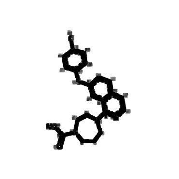 O=C(O)N1CCCN(c2nccc3ccc(Sc4ccc(Cl)cc4)cc23)CC1